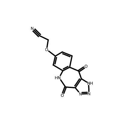 N#CCOc1ccc2c(=O)c3[nH]nnc3c(=O)[nH]c2c1